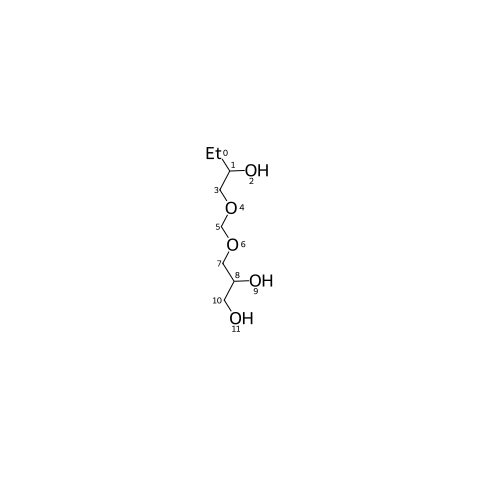 CCC(O)COCOCC(O)CO